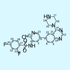 O=S(=O)(Nc1cc(-c2ccc3ncnc(N4CCNCC4)c3c2)cnc1Cl)c1ccc(F)cc1F